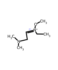 CC/[N+](=C\CN(C)C)OC